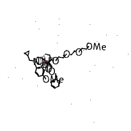 COCCOCCOCCO[C@]12CC[C@@]3(C[C@@H]1COCc1ccccc1)C1Cc4ccc(OC)c5c4[C@@]3(CCN1CC1CC1)[C@H]2O5